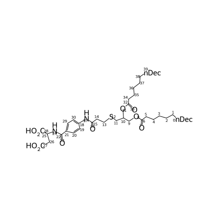 CCCCCCCCCCCCCCCC(=O)OCC(CSCCC(=O)Nc1ccc(C(=O)N[C@@H](CC(=O)O)C(=O)O)cc1)OC(=O)CCCCCCCCCCCCCCC